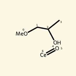 COCC(C)O.[O]=[Ce]